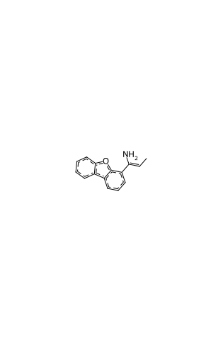 C/C=C(\N)c1cccc2c1oc1ccccc12